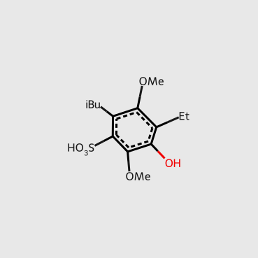 CCc1c(O)c(OC)c(S(=O)(=O)O)c(C(C)CC)c1OC